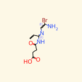 C=C/C(=N\C=C(/N)Br)NC(=O)CCC(=O)O